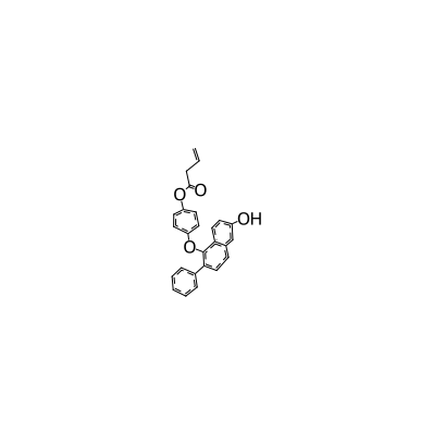 C=CCC(=O)Oc1ccc(Oc2c(-c3ccccc3)ccc3cc(O)ccc23)cc1